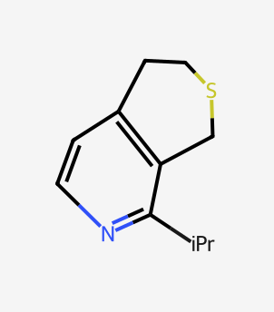 CC(C)c1nccc2c1CSCC2